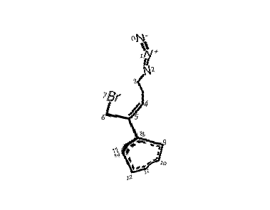 [N-]=[N+]=NCC=C(CBr)c1ccccc1